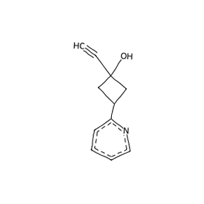 C#CC1(O)CC(c2ccccn2)C1